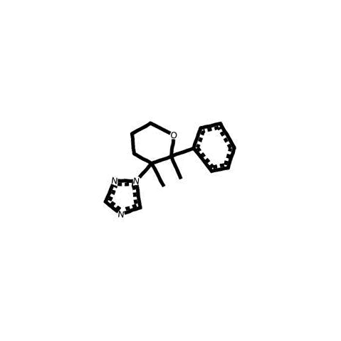 CC1(c2ccccc2)OCCCC1(C)n1cncn1